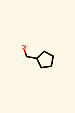 OCC1C[CH]CC1